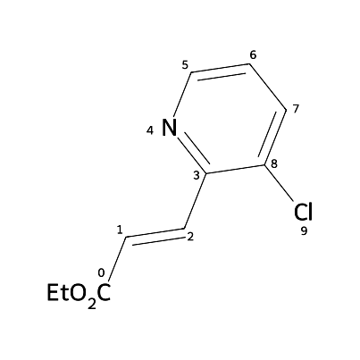 CCOC(=O)C=Cc1ncccc1Cl